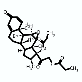 CCC(=O)OCC(=O)[C@]1(OC(=O)CC)[C@@H](C)C[C@H]2[C@@H]3CCC4=CC(=O)C=C[C@]4(C)[C@@]3(Br)[C@H]3O[C@H]3[C@@]21C